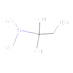 CCCN(CCC)C(C)(C)CC(C)(C)C